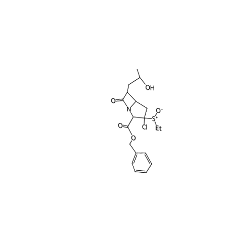 CC[S+]([O-])C1(Cl)CC2C(CC(C)O)C(=O)N2C1C(=O)OCc1ccccc1